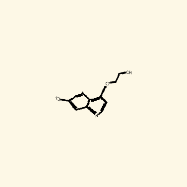 OCCOc1ccnc2cc(Cl)ccc12